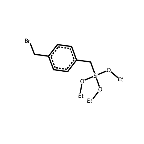 CCO[Si](Cc1ccc(CBr)cc1)(OCC)OCC